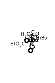 CCCCN(CCCC)C(=O)c1nn(-c2ccc(C(=O)OCC)cc2C(=O)N2CCc3ccccc3C2)c(C)c1Cl